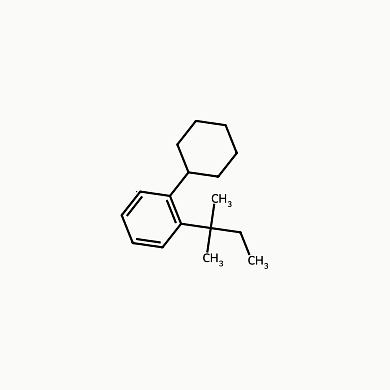 CCC(C)(C)c1ccc[c]c1C1CCCCC1